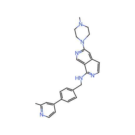 Cc1cc(-c2ccc(CNc3nccc4cc(N5CCN(C)CC5)ncc34)cc2)ccn1